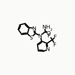 NC(=O)N(c1nc2ccccc2s1)c1cccnc1C(F)(F)F